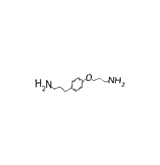 NCCCOc1ccc(CCCN)cc1